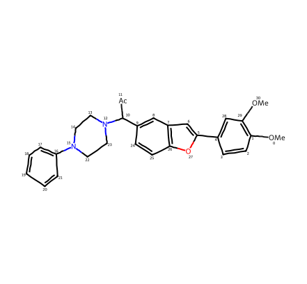 COc1ccc(-c2cc3cc(C(C(C)=O)N4CCN(c5ccccc5)CC4)ccc3o2)cc1OC